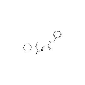 [CH2][C@H](N=CC(=O)OCc1ccccc1)C(=O)C1CCCCC1